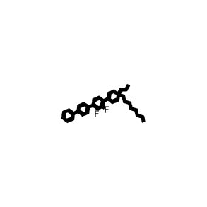 CCCCCCCCC1(CCC)C=CC(c2ccc(-c3ccc(-c4ccccc4)cc3)c(F)c2F)=CC1